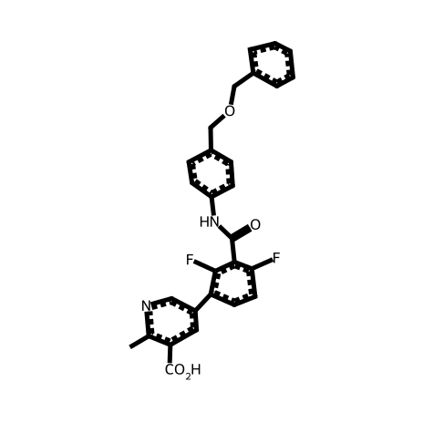 Cc1ncc(-c2ccc(F)c(C(=O)Nc3ccc(COCc4ccccc4)cc3)c2F)cc1C(=O)O